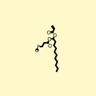 C=CC(=O)OC(CCCCCCCCCC)OC(=O)CCP=O